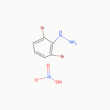 NNc1c(Br)cccc1Br.O=[N+]([O-])O